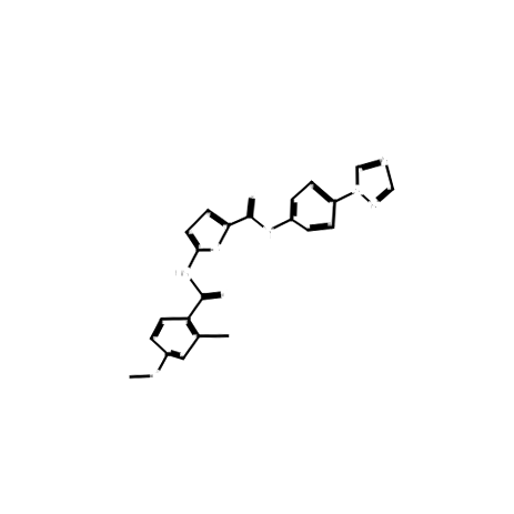 COc1ccc(C(=O)Nc2ccc(C(=O)Nc3ccc(-n4cncn4)cc3)o2)c(C)c1